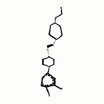 CCC[C@H]1CC[C@H](C=C[C@H]2CC[C@H](c3ccc(F)c(F)c3)CC2)CC1